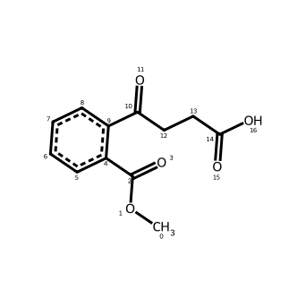 COC(=O)c1ccccc1C(=O)CCC(=O)O